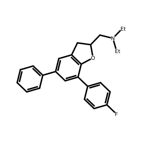 CCN(CC)CC1Cc2cc(-c3ccccc3)cc(-c3ccc(F)cc3)c2O1